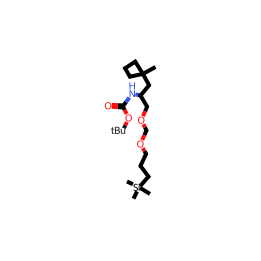 CC1(CC(COCOCCC[Si](C)(C)C)NC(=O)OC(C)(C)C)CCC1